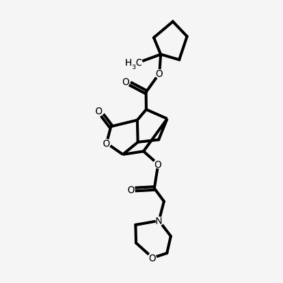 CC1(OC(=O)C2C3CC4C(OC(=O)C42)C3OC(=O)CN2CCOCC2)CCCC1